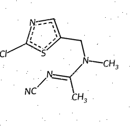 CC(=NC#N)N(C)Cc1cnc(Cl)s1